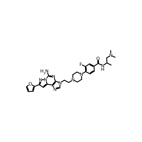 CC(CN(C)C)NC(=O)c1ccc(N2CCN(CCn3cnc4c3nc(N)n3nc(-c5ccco5)cc43)CC2)c(F)c1